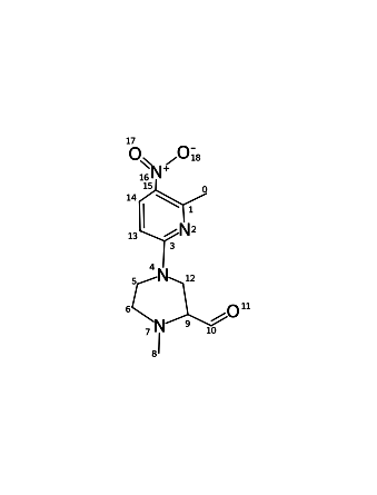 Cc1nc(N2CCN(C)C(C=O)C2)ccc1[N+](=O)[O-]